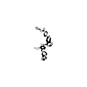 Cc1cc(Nc2ncnc3cnc(N4CCN(C(=O)OC(C)(C)C)CC4)cc23)ccc1CN1CCn2ncnc2C1